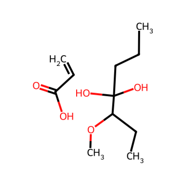 C=CC(=O)O.CCCC(O)(O)C(CC)OC